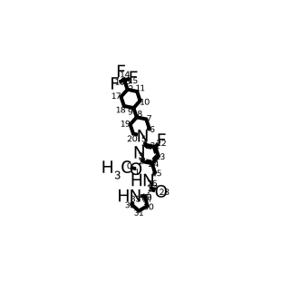 COc1nc(N2CCC(C3CCC(C(F)(F)F)CC3)CC2)c(F)cc1CNC(=O)[C@@H]1CCCN1